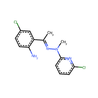 C/C(=N\N(C)c1cccc(Cl)n1)c1cc(Cl)ccc1N